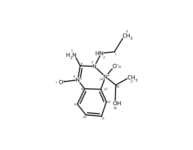 CCNN1C(N)=[N+]([O-])c2ccccc2[N+]1([O-])C(C)O